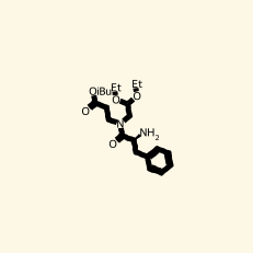 CCOC(CN(CCC(=O)OCC(C)C)C(=O)[C@@H](N)Cc1ccccc1)OCC